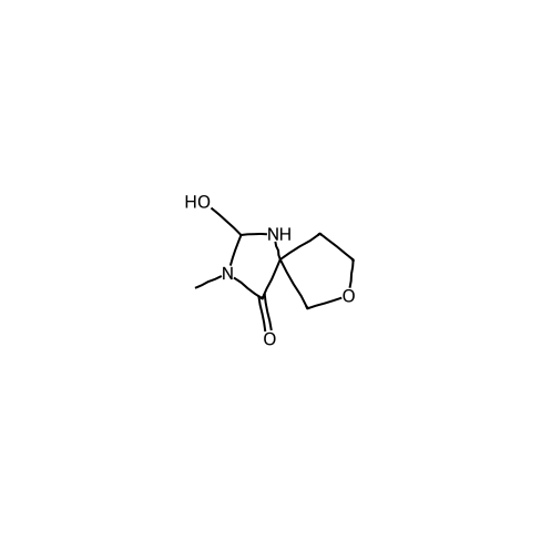 CN1C(=O)C2(CCOC2)NC1O